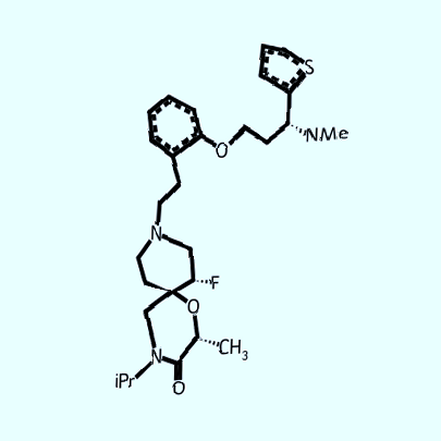 CN[C@H](CCOc1ccccc1CCN1CC[C@@]2(CN(C(C)C)C(=O)[C@@H](C)O2)[C@@H](F)C1)c1cccs1